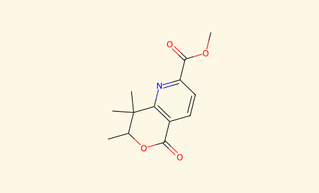 COC(=O)c1ccc2c(n1)C(C)(C)C(C)OC2=O